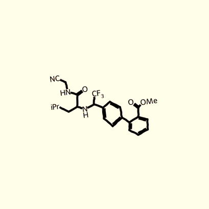 COC(=O)c1ccccc1-c1ccc(C(NC(CC(C)C)C(=O)NCC#N)C(F)(F)F)cc1